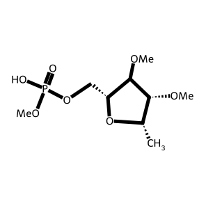 COC1[C@@H](COP(=O)(O)OC)O[C@@H](C)[C@H]1OC